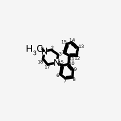 CN1CCN(c2ccccc2-c2ccccc2)CC1